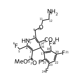 COC(=O)C1=C(CF)NC(COCCN)=C(C(=O)O)C1c1c(F)c(F)cc(F)c1F